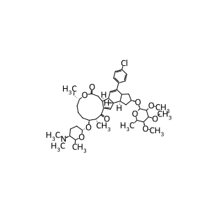 CC[C@H]1CCC[C@H](O[C@H]2CC[C@H](N(C)C)C(C)O2)[C@@H](C)C(=O)C2=C[C@@H]3C(C=C(c4ccc(Cl)cc4)C4C[C@@H](O[C@@H]5OC(C)[C@H](OC)C(OC)C5OC)C[C@H]43)[C@@H]2CC(=O)O1